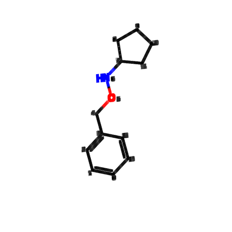 c1ccc(CONC2CCCC2)cc1